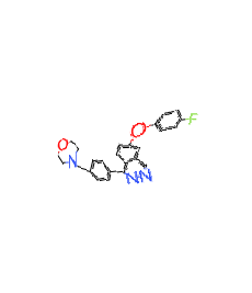 Fc1ccc(Oc2ccc3c(-c4ccc(CN5CCOCC5)cc4)nncc3c2)cc1